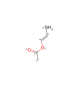 CC(=O)OC=C[SiH3]